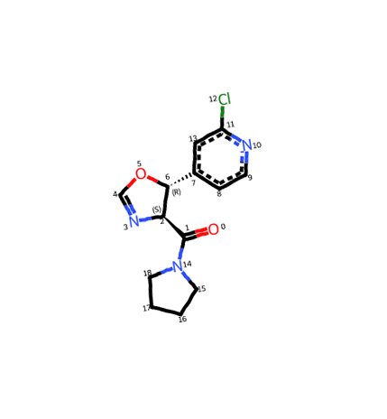 O=C([C@H]1N=CO[C@@H]1c1ccnc(Cl)c1)N1CCCC1